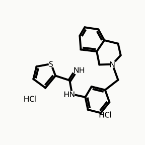 Cl.Cl.N=C(Nc1cccc(CN2CCc3ccccc3C2)c1)c1cccs1